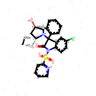 CNC.COc1ccccc1C1(N2C[C@H](O)C[C@H]2C(=O)O)C(=O)N(S(=O)(=O)c2ccccn2)c2ccc(Cl)cc21